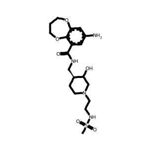 CS(=O)(=O)NCCN1CC[C@@H](CNC(=O)c2cc(N)cc3c2OCCCO3)C(O)C1